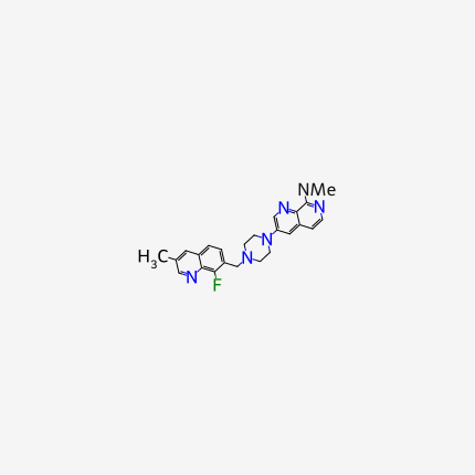 CNc1nccc2cc(N3CCN(Cc4ccc5cc(C)cnc5c4F)CC3)cnc12